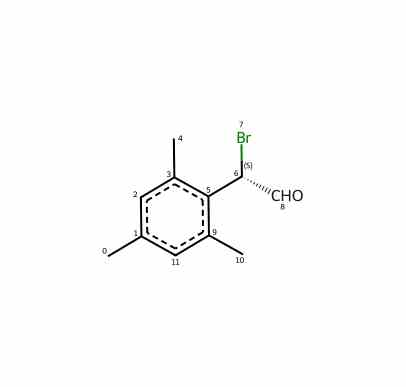 Cc1cc(C)c([C@H](Br)C=O)c(C)c1